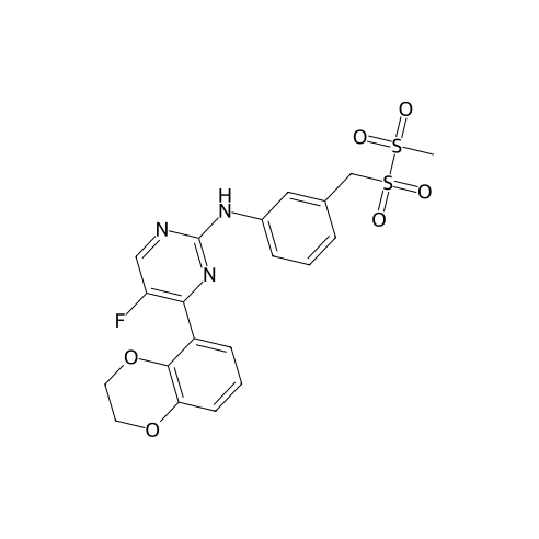 CS(=O)(=O)S(=O)(=O)Cc1cccc(Nc2ncc(F)c(-c3cccc4c3OCCO4)n2)c1